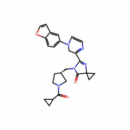 O=C(C1CC1)N1CC[C@@H](CN2C(=O)C3(CC3)N=C2C2=NC=CN(c3ccc4occc4c3)C2)C1